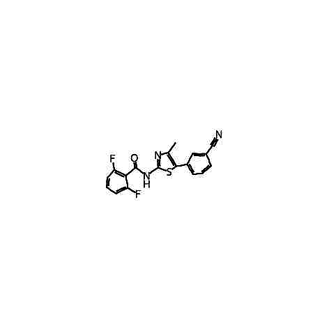 Cc1nc(NC(=O)c2c(F)cccc2F)sc1-c1cccc(C#N)c1